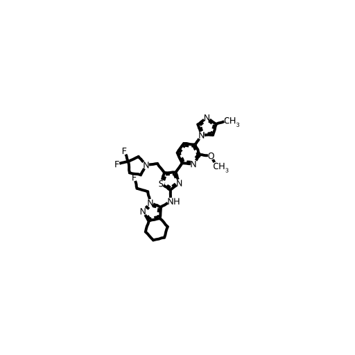 COc1nc(-c2nc(Nc3c4c(nn3CCF)CCCC4)sc2CN2CCC(F)(F)C2)ccc1-n1cnc(C)c1